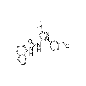 CC(C)(C)c1cc(NC(=O)Nc2cccc3ccccc23)n(-c2cccc(C=O)c2)n1